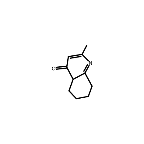 CC1=CC(=O)C2CCCCC2=N1